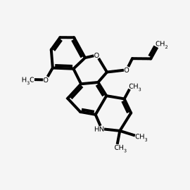 C=CCOC1Oc2cccc(OC)c2-c2ccc3c(c21)C(C)=CC(C)(C)N3